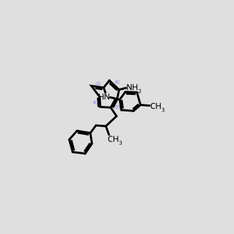 Cc1ccc(NC2=C\C=C\C(CC(C)Cc3ccccc3)=C/C(N)=C\2)cc1